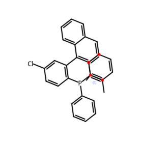 C/C=C(\C)c1ccc2ccccc2c1-c1cc(Cl)ccc1P(c1ccccc1)c1ccccc1